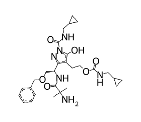 CC(C)(N)C(=O)N[C@@H](COCc1ccccc1)c1nn(C(=O)NCC2CC2)c(O)c1CCOC(=O)NCC1CC1